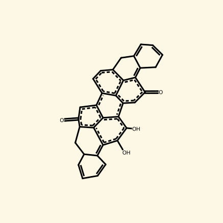 O=c1cc2c3ccc4c5c(c(=O)cc(c6c(O)c(O)c7c(c1CC1C=CC=CC=71)c26)c53)=C1CC=CC=C1C4